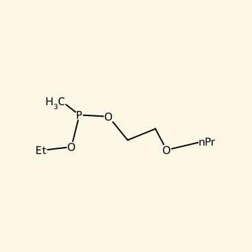 CCCOCCOP(C)OCC